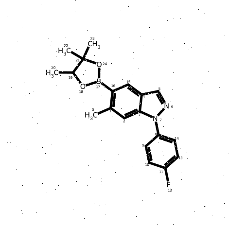 Cc1cc2c(cnn2-c2ccc(F)cc2)cc1B1OC(C)C(C)(C)O1